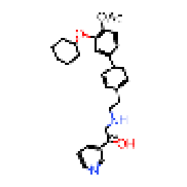 CC(=O)Oc1ccc(-c2ccc(CCNC[C@@H](O)c3cccnc3)cc2)cc1OC1CCCCC1